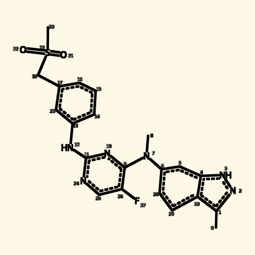 Cc1n[nH]c2cc(N(C)c3nc(Nc4cccc(CS(C)(=O)=O)c4)ncc3F)ccc12